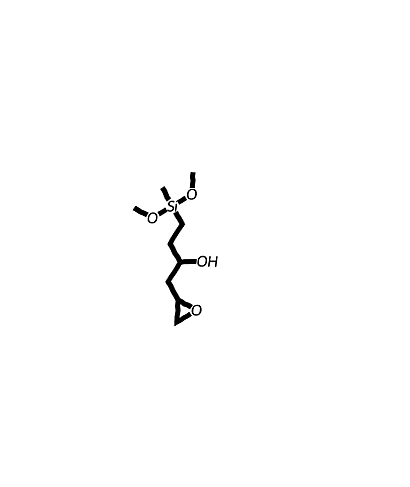 CO[Si](C)(CCC(O)CC1CO1)OC